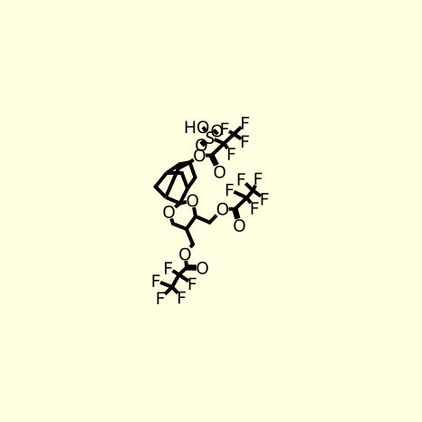 O=C(OCC1COC2(OC1COC(=O)C(F)(F)C(F)(F)F)C1CC3CC2CC(OC(=O)C(F)(C(F)(F)F)S(=O)(=O)O)(C3)C1)C(F)(F)C(F)(F)F